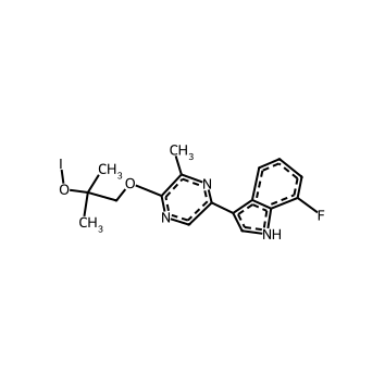 Cc1nc(-c2c[nH]c3c(F)cccc23)cnc1OCC(C)(C)OI